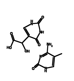 Cc1c[nH]c(=O)nc1N.O=C(O)C(O)c1c[nH]c(=O)[nH]c1=O